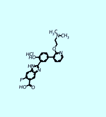 CN(C)CCOc1ncccc1-c1ccc(O)c(-c2nc3cc(C(=O)O)c(F)cc3[nH]2)c1.Cl